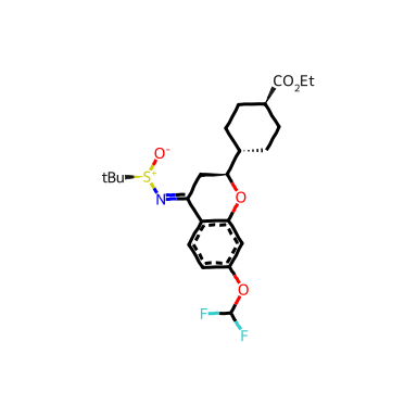 CCOC(=O)[C@H]1CC[C@H]([C@@H]2C/C(=N\[S@+]([O-])C(C)(C)C)c3ccc(OC(F)F)cc3O2)CC1